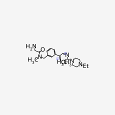 C/C=C(\C=N/C(C)N1CCN(CC)CC1)c1cccc(CN(C)C(=O)CN)c1